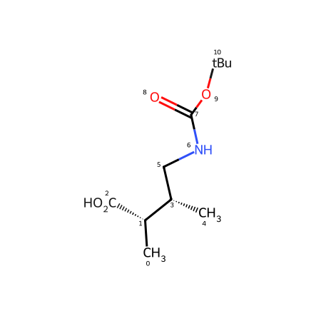 C[C@H](C(=O)O)[C@@H](C)CNC(=O)OC(C)(C)C